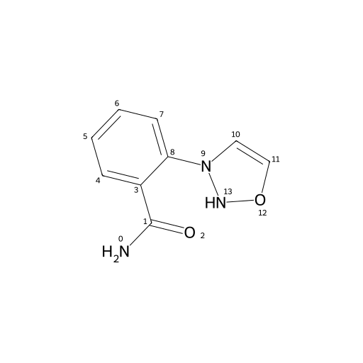 NC(=O)c1ccccc1N1C=CON1